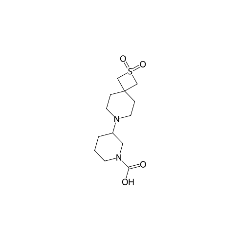 O=C(O)N1CCCC(N2CCC3(CC2)CS(=O)(=O)C3)C1